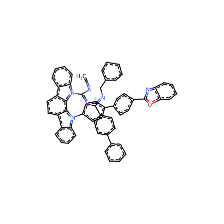 C=N/C(=N\C(=N/Cc1ccccc1)c1ccc(-c2ccccc2)cc1)n1c2ccccc2c2ccc3c4ccccc4n(-c4ccc(-c5ccc(-c6nc7ccccc7o6)cc5)cc4)c3c21